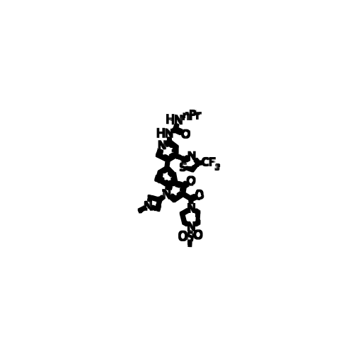 CCCNC(=O)Nc1cc(C2=NC(C(F)(F)F)CS2)c(-c2ccc3c(c2)c(=O)c(C(=O)N2CCN(S(C)(=O)=O)CC2)cn3C2CN(C)C2)cn1